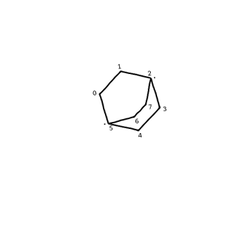 C1C[C]2CC[C]1CC2